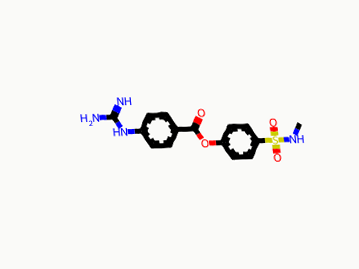 CNS(=O)(=O)c1ccc(OC(=O)c2ccc(NC(=N)N)cc2)cc1